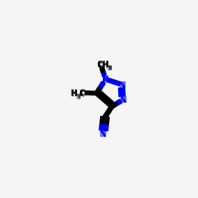 Cc1c(C#N)nnn1C